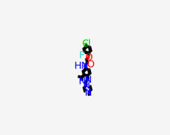 Cc1nc(N2CCN(C)CC2)nc2ccc(NC(=O)COc3ccc(Cl)cc3F)cc12